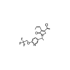 C=C(Cl)C1=C(/C=C\C)C(=O)N(C(C)c2ccc(OCC(F)(F)F)nc2)C1